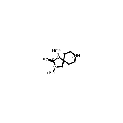 CCCN1CC2(CCNCC2)OC1=O.Cl